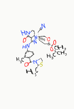 Cc1cc(Nc2nn([C@]3(CC#N)CC[C@@H](C(=O)OC(C)(C)C)OC3)c3cc[nH]c(=O)c23)ccc1C(=O)N1CCSC1C